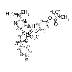 CN(C)C(=O)Oc1ccc(CC(Nc2nc(N(C)C)ncc2NCS(=O)(=O)c2ccc(F)cc2)C(=O)O)cc1